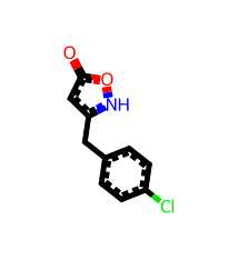 O=c1cc(Cc2ccc(Cl)cc2)[nH]o1